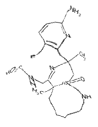 CC1(c2nc(N)ccc2F)C[SH]2(=O)NCCCCC2(C)C(NC(=O)O)=N1